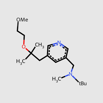 COCCOC(C)(C)Cc1cncc(CN(C)C(C)(C)C)c1